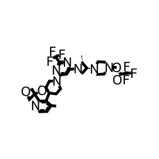 COC1(c2nccc(C)c2C2CCN(c3cc(N4C[C@@H](N5CCN(OC(=O)C(F)(F)F)CC5)[C@H]4C)nc(C(F)(F)F)n3)CC2)COC1